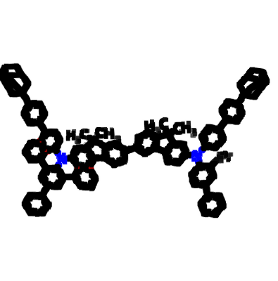 CC(C)c1cc(-c2ccccc2)ccc1N(c1ccc(-c2ccc(C34CC5CC(CC(C5)C3)C4)cc2)cc1)c1ccc2c(c1)C(C)(C)c1ccc(-c3ccc4c(c3)C(C)(C)c3cc(N(c5ccc(-c6ccc(C78CC9CC(CC(C9)C7)C8)cc6)cc5)c5c(-c6ccccc6)cc(-c6ccccc6)cc5-c5ccccc5)ccc3-4)cc1-2